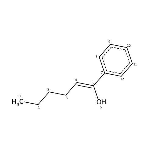 CCCCC=C(O)c1ccccc1